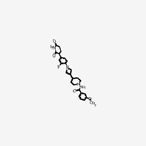 COc1cccc(C(=O)NN2CCC(C3CN(c4ccc(C5CCC(=O)NC5=O)cc4F)C3)CC2)c1